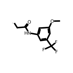 [CH2]CC(=O)Nc1cc(OC)cc(C(F)(F)F)c1